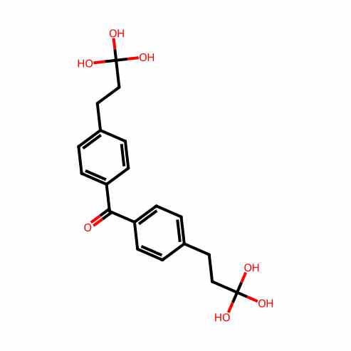 O=C(c1ccc(CCC(O)(O)O)cc1)c1ccc(CCC(O)(O)O)cc1